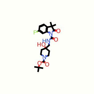 CC(C)(C)OC(=O)N1CCC(O)(CNC(=O)N2C(=O)C(C)(C)c3ccc(F)cc32)CC1